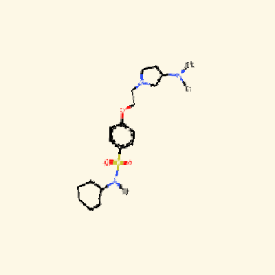 CCN(CC)C1CCN(CCOc2ccc(S(=O)(=O)N(CC)C3CCCCC3)cc2)C1